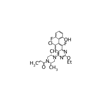 C=CC(=O)N1C[C@H](C)N(c2nc(OCC)nc3c(F)c(-c4c(O)cccc4F)c(Cl)cc23)C[C@H]1C